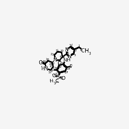 CCc1cnc([C@]2(Nc3cc(F)c(S(C)(=O)=O)cc3F)CCCN([C@H]3CCNC(=O)C3)C2=O)nc1